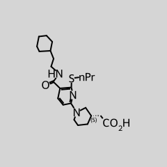 CCCSc1nc(N2CCC[C@@H](CC(=O)O)C2)ccc1C(=O)NCCC1CCCCC1